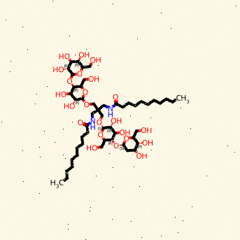 CCCCCCCCCCC(=O)NCC(CNC(=O)CCCCCCCCCC)(COC1OC(CO)[C@H](OC2OC(CO)[C@H](O)C(O)[C@H]2O)C(O)[C@H]1O)CO[C@H]1OC(CO)[C@H](O[C@H]2CC(O)[C@@H](O)C(CO)O2)C(O)[C@H]1O